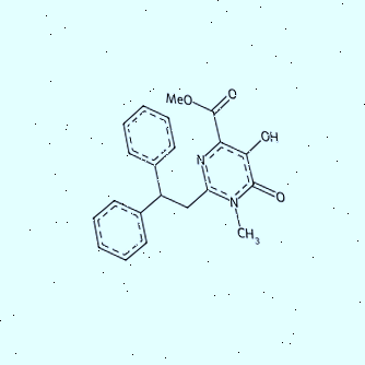 COC(=O)c1nc(CC(c2ccccc2)c2ccccc2)n(C)c(=O)c1O